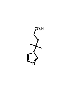 CC(C)(CCC(=O)O)n1ccnc1